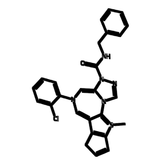 CS1=C2C(=CN(c3ccccc3Cl)C=C3N2C=NN3C(=O)NCc2ccccc2)C2=C1C=CC2